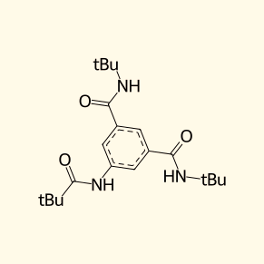 CC(C)(C)NC(=O)c1cc(NC(=O)C(C)(C)C)cc(C(=O)NC(C)(C)C)c1